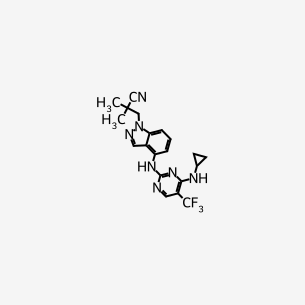 CC(C)(C#N)Cn1ncc2c(Nc3ncc(C(F)(F)F)c(NC4CC4)n3)cccc21